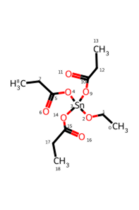 CC[O][Sn]([O]C(=O)CC)([O]C(=O)CC)[O]C(=O)CC